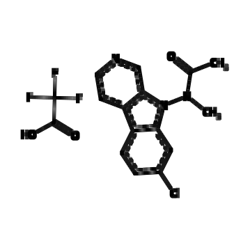 CC(=O)N(C)n1c2cnccc2c2ccc(Cl)cc21.O=C(O)C(F)(F)F